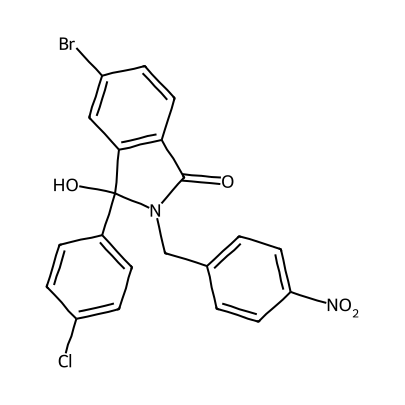 O=C1c2ccc(Br)cc2C(O)(c2ccc(Cl)cc2)N1Cc1ccc([N+](=O)[O-])cc1